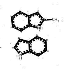 Cc1cc2ccccc2[nH]1.c1ccc2[nH]ccc2c1